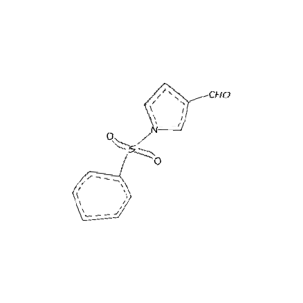 O=Cc1ccn(S(=O)(=O)c2ccccc2)c1